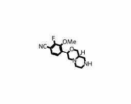 COc1c([C@@H]2CN3CCNC[C@@H]3CO2)ccc(C#N)c1F